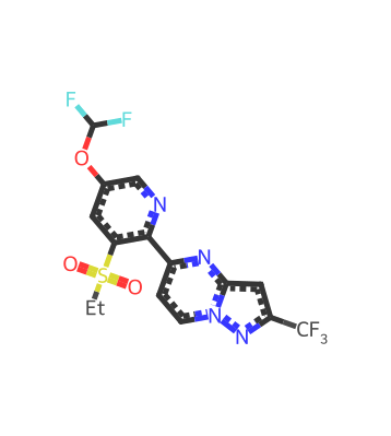 CCS(=O)(=O)c1cc(OC(F)F)cnc1-c1ccn2nc(C(F)(F)F)cc2n1